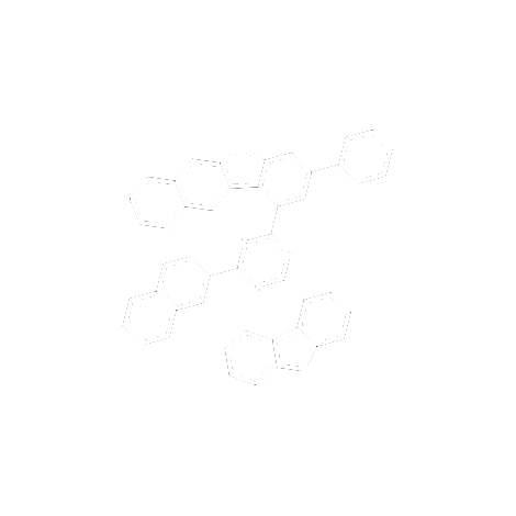 c1ccc(-c2cc(-c3nc(-c4ccc5ccccc5c4)nc(-c4cccc5sc6ccccc6c45)n3)c3c(c2)oc2cc4ccccc4cc23)cc1